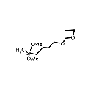 CO[Si](C)(CCCCOC1CCO1)OC